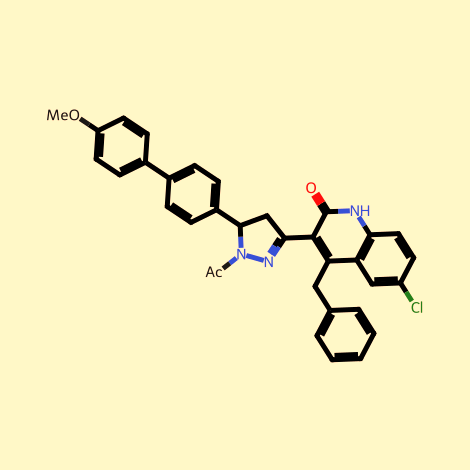 COc1ccc(-c2ccc(C3CC(c4c(Cc5ccccc5)c5cc(Cl)ccc5[nH]c4=O)=NN3C(C)=O)cc2)cc1